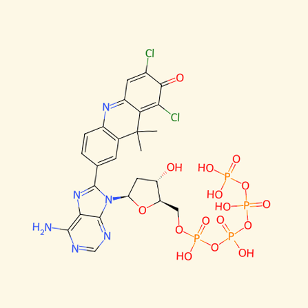 CC1(C)C2=C(Cl)C(=O)C(Cl)=CC2=Nc2ccc(-c3nc4c(N)ncnc4n3[C@H]3C[C@H](O)[C@@H](COP(=O)(O)OP(=O)(O)OP(=O)(O)OP(=O)(O)O)O3)cc21